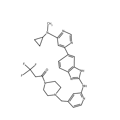 CN(c1cc(-c2ccc3nc(Nc4cc(CN5CCN(C(=O)CC(F)(F)F)CC5)ccn4)[nH]c3c2)ncn1)C1CC1